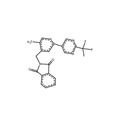 Cc1cnc(-c2cnc(C(F)(F)F)nc2)cc1CN1C(=O)c2ccccc2C1=O